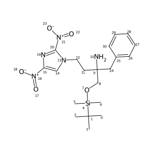 CC(C)(C)[Si](C)(C)OCC(N)(CCn1cc([N+](=O)[O-])nc1[N+](=O)[O-])Cc1ccccc1